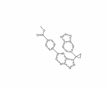 COC(=O)c1ccc(-c2cnc3nnc(C4(c5ccc6ncsc6c5)CC4)n3n2)cc1